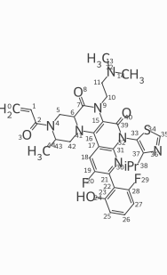 C=CC(=O)N1CC2C(=O)N(CCN(C)C)c3c(c4cc(F)c(-c5c(O)cccc5F)nc4n(-c4scnc4C(C)C)c3=O)N2CC1C